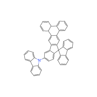 C1=CC2c3ccccc3-c3cc4c(cc3C2C=C1)-c1cc(-n2c3ccccc3c3ccccc32)ccc1C41c2ccccc2-c2ccccc21